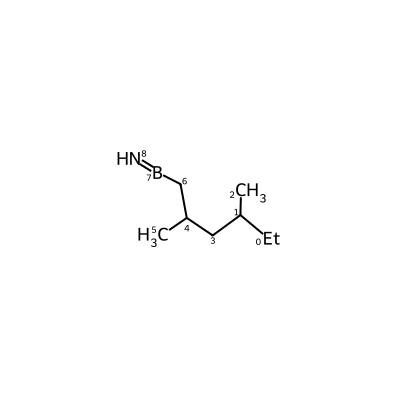 CCC(C)CC(C)CB=N